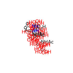 CC(=O)NCC(OC(CO)C(OC1OC(CO)C(O)C(O)C1O)C(C)O)OC1(C(O)OCC2C(O)C(OC3OC(CO)C(O)C(O)C3OC3OC(CO)C(OC4OC(CO)C(O)C(O)C4O)C(O)C3NC(C)=O)C2(O)C(O)O[C@@H](CO)C(CO)O[C@H](CNC(C)=O)O[C@@H](CO)C(CO)O[C@H](CNC(C)=O)NC(=O)CC(NC(=O)OCC2c3ccccc3-c3ccccc32)C(=O)O)C(O)C(O)C1CO